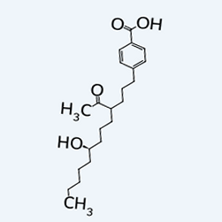 CCCCC[C@@H](O)CCCC(CCCc1ccc(C(=O)O)cc1)C(C)=O